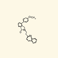 COc1ccc(-c2cccc3c2CN(CCc2ccc4ccccc4n2)C3=O)cc1